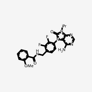 COc1ccccc1C(=O)NCc1ccc(-n2c(=O)n(C(C)C)c3ncnc(N)c32)c(F)c1F